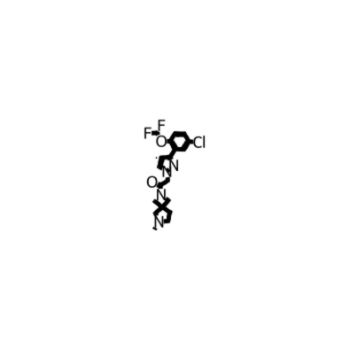 CN1CCC2(C1)CN(C(=O)Cn1c[c]c(-c3cc(Cl)ccc3OC(F)F)n1)C2